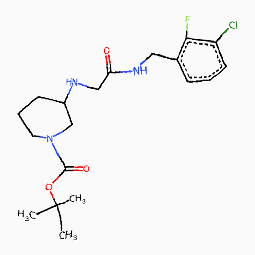 CC(C)(C)OC(=O)N1CCCC(NCC(=O)NCc2cccc(Cl)c2F)C1